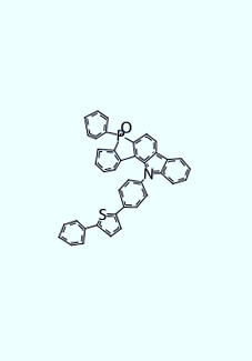 O=P1(c2ccccc2)c2ccccc2-c2c1ccc1c3ccccc3n(-c3ccc(-c4ccc(-c5ccccc5)s4)cc3)c21